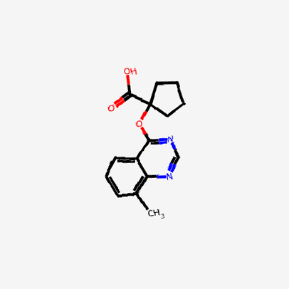 Cc1cccc2c(OC3(C(=O)O)CCCC3)ncnc12